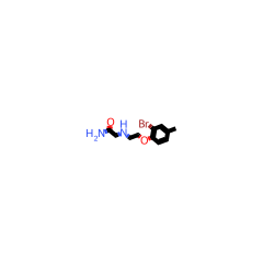 Cc1ccc(OCCNCC(N)=O)c(Br)c1